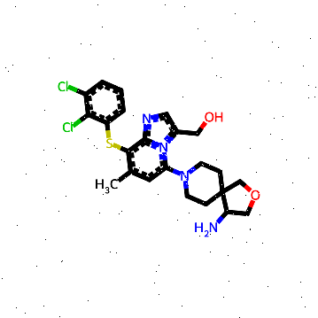 Cc1cc(N2CCC3(CC2)COCC3N)n2c(CO)cnc2c1Sc1cccc(Cl)c1Cl